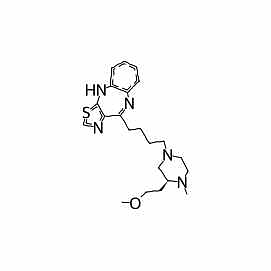 COCC[C@H]1CN(CCCCC2=Nc3ccccc3Nc3scnc32)CCN1C